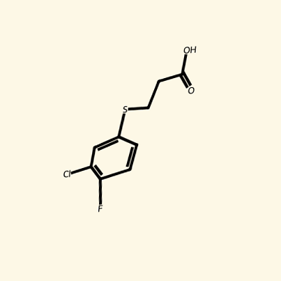 O=C(O)CCSc1ccc(F)c(Cl)c1